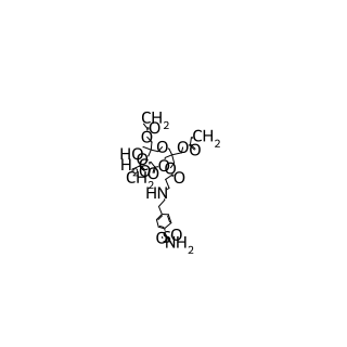 C=CC(=O)OCC(CO)(COCC(COC(=O)C=C)(COC(=O)C=C)COC(=O)CCNCCc1ccc(S(N)(=O)=O)cc1)COC(=O)C=C